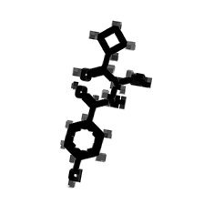 CC(C)(C)N(NC(=O)c1ccc(Cl)cc1)C(=O)C1CCC1